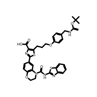 C=C(NCc1ccc(OCCCc2sc(-c3ccc4c(c3)N(C(=O)Nc3nc5ccccc5s3)CCO4)nc2C(=O)O)cc1)OC(C)(C)C